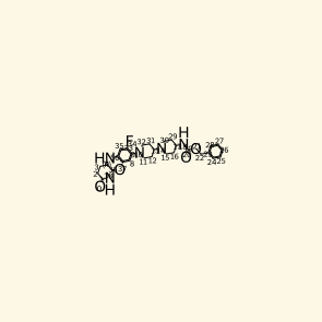 O=C1CC[C@@H](Nc2ccc(N3CCC(N4CCC(NC(=O)OCc5ccccc5)CC4)CC3)c(F)c2)C(=O)N1